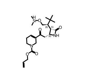 C=CCOC(=O)N1CCC=C(C(=O)C[C@H]2NC(=O)[C@H]2[C@@H](CO[SiH](C)C)C(C)(C)C)C1